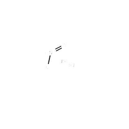 O=[NH+][O-].[Pd].[Pd]